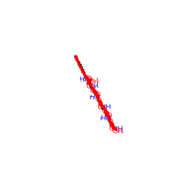 CCCCCCCCCCCCCCCCCC(=O)NC(CCC(=O)NCCOCCOCC(=O)NCCOCCOCC(=O)NCCOCCOCC(=O)NCCOCCOCC(=O)NO)C(=O)O